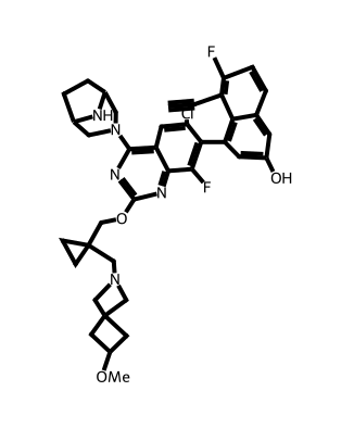 C#Cc1c(F)ccc2cc(O)cc(-c3c(Cl)cc4c(N5CC6CCC(C5)N6)nc(OCC5(CN6CC7(CC(OC)C7)C6)CC5)nc4c3F)c12